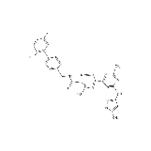 Cc1cc(Nc2cc(C)[nH]n2)nc(-c2cnc(C(=O)NCc3cnc(-c4cc(F)cnc4C)cn3)c(C)c2)n1